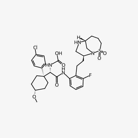 CO[C@H]1CC[C@](c2ccc(Cl)cc2)([C@H](NC(=O)O)C(=O)Nc2cccc(F)c2CC[C@H]2CN[C@@H]3CCCS(=O)(=O)N2C3)CC1